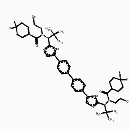 CC(C)(C)[C@@H](c1ncc(-c2ccc(-c3ccc(-c4cnc([C@@H](N(CCO)C(=O)C5CCC(F)(F)CC5)C(C)(C)C)[nH]4)cc3)cc2)[nH]1)N(CCO)C(=O)C1CCC(F)(F)CC1